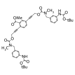 COC(=O)c1cc(C#CCOC(=O)N(C)Cc2cccc(NC(=O)OC(C)(C)C)c2)ccc1C#CCOC(=O)N(C)Cc1cccc(NC(=O)OC(C)(C)C)c1